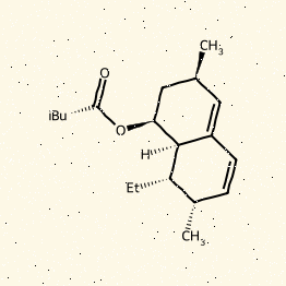 CC[C@@H]1[C@@H]2C(=C[C@H](C)C[C@@H]2OC(=O)[C@@H](C)CC)C=C[C@@H]1C